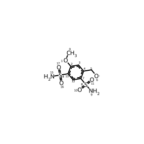 COc1cc(C[O])c(S(N)(=O)=O)cc1S(N)(=O)=O